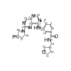 Cc1ccc(C(=O)NCC2CCOC2)cc1Nc1ncnc2cnc(N3CC[C@@H](F)C3)nc12